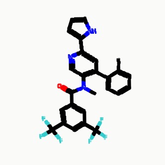 Cc1ccccc1-c1cc(-c2ccc[nH]2)ncc1N(C)C(=O)c1cc(C(F)(F)F)cc(C(F)(F)F)c1